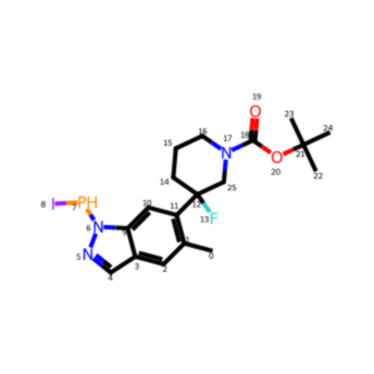 Cc1cc2cnn(PI)c2cc1C1(F)CCCN(C(=O)OC(C)(C)C)C1